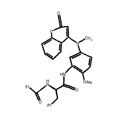 CCC(=O)NC(CC(C)C)C(=O)Nc1cc(N(C)c2cc(=O)oc3ccccc23)ccc1OC